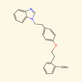 COc1ccccc1CCOc1ccc(CCn2cnc3ccccc32)cc1